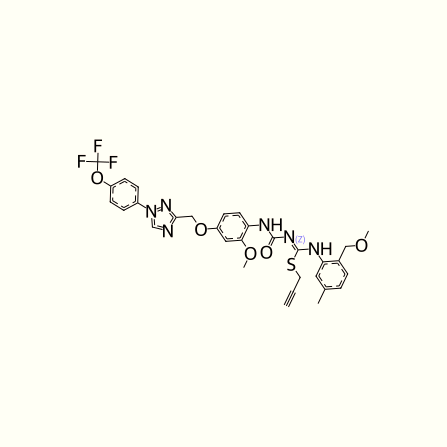 C#CCS/C(=N\C(=O)Nc1ccc(OCc2ncn(-c3ccc(OC(F)(F)F)cc3)n2)cc1OC)Nc1cc(C)ccc1COC